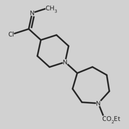 CCOC(=O)N1CCCC(N2CCC(/C(Cl)=N\C)CC2)CC1